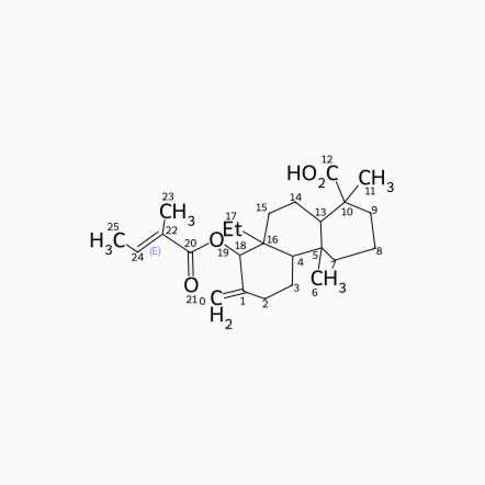 C=C1CCC2C3(C)CCCC(C)(C(=O)O)C3CCC2(CC)C1OC(=O)/C(C)=C/C